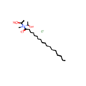 CCCCCCCCC=CCCCCCCCC(=O)[N+](C)(C(C)O)C(C)O.[Cl-]